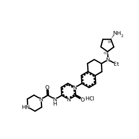 CCN(C1CCc2cc(-n3ccc(NC(=O)N4CCNCC4)nc3=O)ccc2C1)[C@H]1CC[C@H](N)C1.Cl